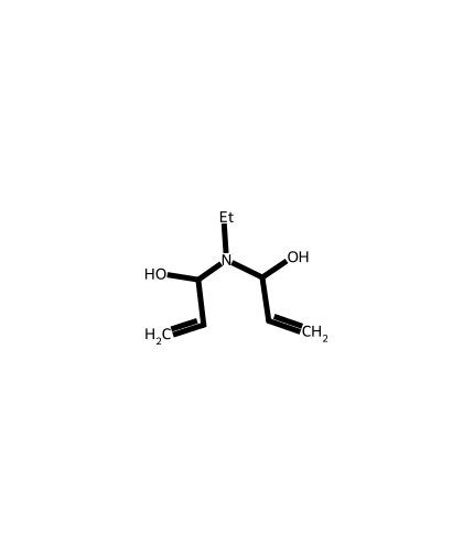 [CH2]CN(C(O)C=C)C(O)C=C